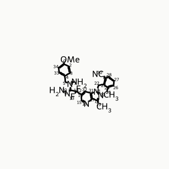 COc1ccc(CN(N)/C(=N\N)C(F)(F)c2cnc3c(C)nn(Cc4c(C)cccc4C#N)c3c2)cc1